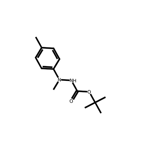 Cc1ccc(N(C)NC(=O)OC(C)(C)C)cc1